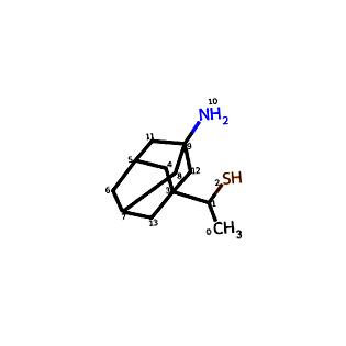 CC(S)C12CC3CC(CC(N)(C3)C1)C2